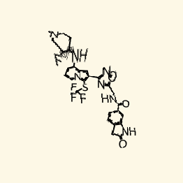 CN1CC[C@@H](Nc2cccn3c(SC(F)(F)F)c(-c4noc(CNC(=O)c5ccc6c(c5)NC(=O)C6)n4)cc23)[C@@H](F)C1